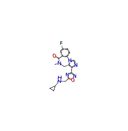 CN1Cc2c(-c3noc(CNC4CC4)n3)ncn2-c2ccc(F)cc2C1=O